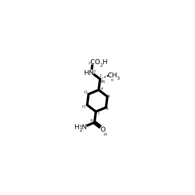 C[C@@H](NC(=O)O)C1CCC(C(N)=O)CC1